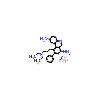 CCN(CC)CCCc1c(-c2ccccc2)cc(N)c2cnc3ccc(N)cc3c12.CI.I